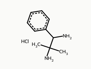 CC(C)(N)C(N)c1ccccc1.Cl